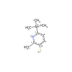 Cc1n[c]([Sn]([CH3])([CH3])[CH3])ccc1F